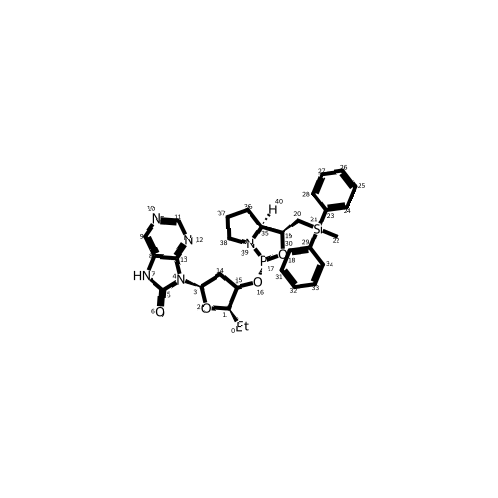 CC[C@H]1O[C@@H](n2c(=O)[nH]c3cncnc32)CC1O[P@@]1O[C@H](C[Si](C)(c2ccccc2)c2ccccc2)[C@@H]2CCCN21